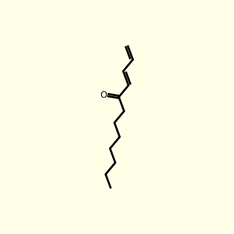 C=CC=CC(=O)CCCCCCC